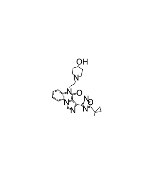 CC1(c2nc(-c3ncn4c3c(=O)n(CCN3CCC(O)CC3)c3ccccc34)no2)CC1